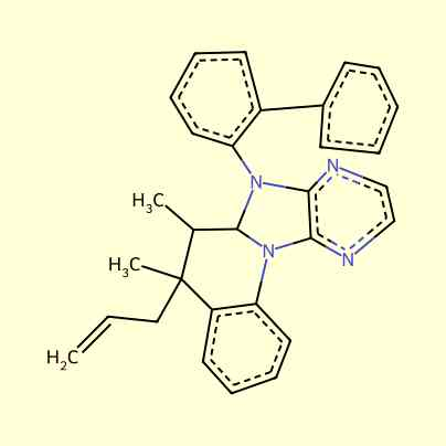 C=CCC1(C)c2ccccc2N2c3nccnc3N(c3ccccc3-c3ccccc3)C2C1C